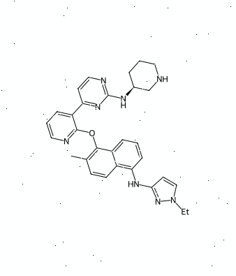 CCn1ccc(Nc2cccc3c(Oc4ncccc4-c4ccnc(N[C@H]5CCCNC5)n4)c(C)ccc23)n1